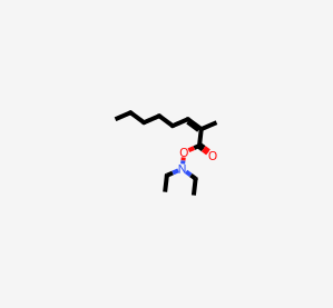 CCCCCC=C(C)C(=O)ON(CC)CC